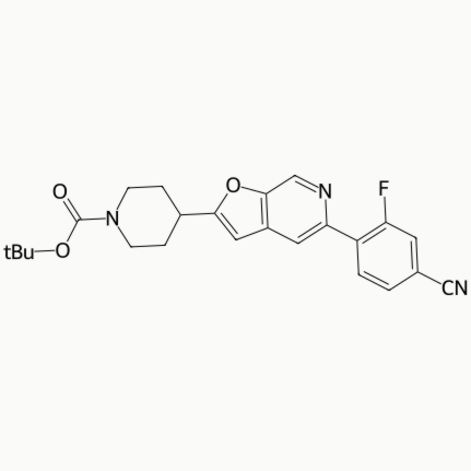 CC(C)(C)OC(=O)N1CCC(c2cc3cc(-c4ccc(C#N)cc4F)ncc3o2)CC1